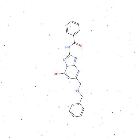 O=C(Nc1nc2nc(CNCc3ccccc3)cc(O)n2n1)c1ccccc1